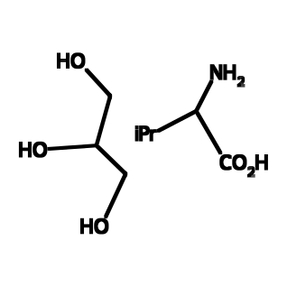 CC(C)C(N)C(=O)O.OCC(O)CO